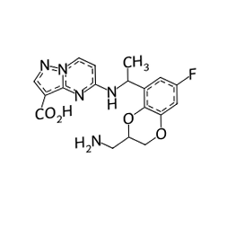 CC(Nc1ccn2ncc(C(=O)O)c2n1)c1cc(F)cc2c1OC(CN)CO2